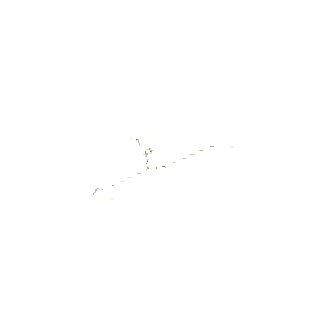 CCCCCC/C=C\CCCCCCCC(=O)O[C@H](COC(=O)CCCCCCCCCCCCCCCCCCC)COP(=O)(O)OC[C@@H](O)CO